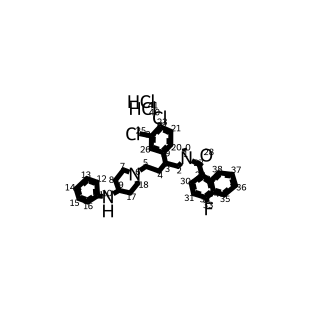 CN(CC(CCN1CCC(Nc2ccccc2)CC1)c1ccc(Cl)c(Cl)c1)C(=O)c1ccc(F)c2ccccc12.Cl.Cl